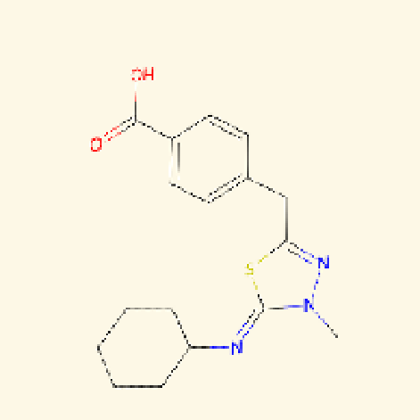 Cn1nc(Cc2ccc(C(=O)O)cc2)sc1=NC1CCCCC1